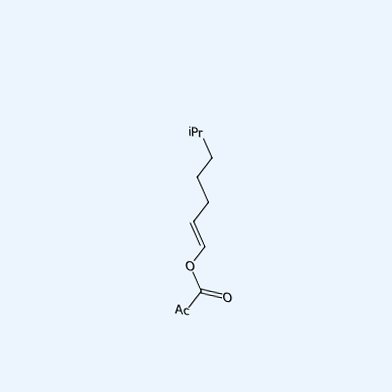 CC(=O)C(=O)OC=CCCCC(C)C